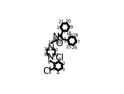 Clc1cccc(Cl)c1CN1CCN(Cc2nc(-c3ccccc3)c(-c3ccccc3)o2)CC1